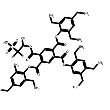 BCc1cc(B)c(OC(=O)c2cc(C(=O)Oc3cc(CB)c(CB)cc3CB)c(C(=O)Oc3c(CB)cc(CB)cc3CB)cc2C(=O)OC(C)C(F)(F)S(=O)(=O)O)c(CB)c1